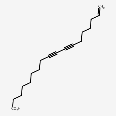 C=CCCCCC#CC#CCCCCCCCC(=O)O